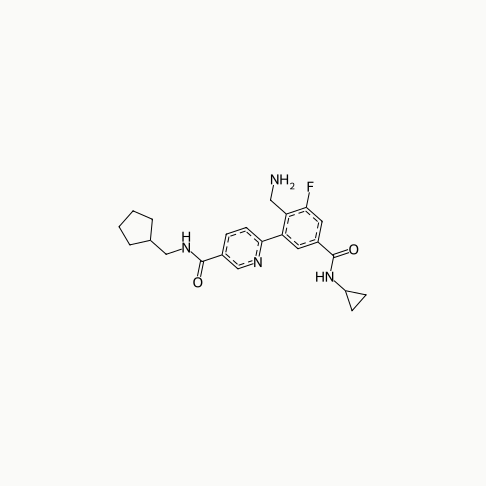 NCc1c(F)cc(C(=O)NC2CC2)cc1-c1ccc(C(=O)NCC2CCCC2)cn1